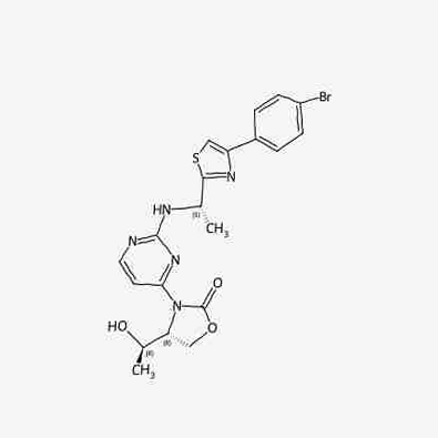 C[C@H](Nc1nccc(N2C(=O)OC[C@@H]2[C@@H](C)O)n1)c1nc(-c2ccc(Br)cc2)cs1